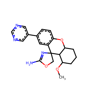 COC1CCCC2Oc3ccc(-c4cncnc4)cc3C3(COC(N)=N3)C12